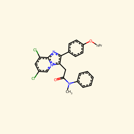 CCCOc1ccc(-c2nc3c(Cl)cc(Cl)cn3c2CC(=O)N(C)c2ccccc2)cc1